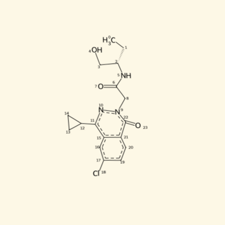 CC[C@@H](CO)NC(=O)Cn1nc(C2CC2)c2cc(Cl)ccc2c1=O